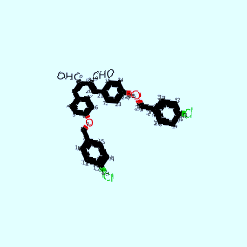 O=CC(=Cc1ccc(OCc2ccc(Cl)cc2)cc1)C(C=O)=Cc1ccc(OCc2ccc(Cl)cc2)cc1